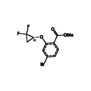 COC(=O)c1ccc(Br)cc1O[C@@H]1CC1(F)F